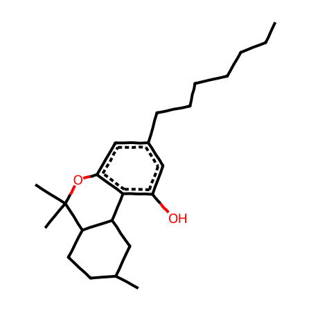 CCCCCCCc1cc(O)c2c(c1)OC(C)(C)C1CCC(C)CC21